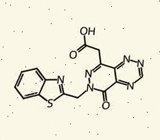 O=C(O)Cc1nn(Cc2nc3ccccc3s2)c(=O)c2ncnnc12